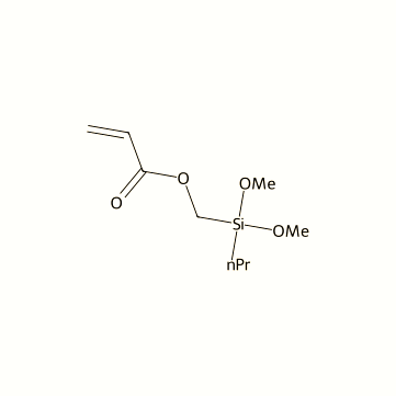 C=CC(=O)OC[Si](CCC)(OC)OC